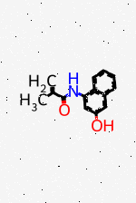 C=C(C)C(=O)Nc1cc(O)cc2ccccc12